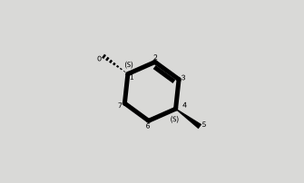 C[C@@H]1C=C[C@@H](C)CC1